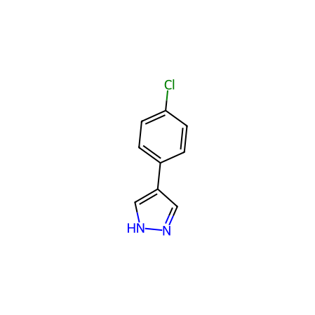 Clc1ccc(-c2cn[nH]c2)cc1